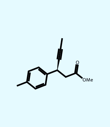 CC#C[C@@H](CC(=O)OC)c1ccc(C)cc1